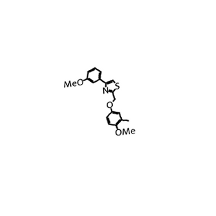 COc1cccc(-c2csc(COc3ccc(OC)c(C)c3)n2)c1